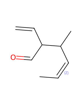 C=CC(C=O)C(C)/C=C\C